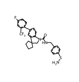 NSc1ccc(CNC(=O)N2CC3(CCCC3)c3cc(-c4ccc(F)cc4C(F)(F)F)ccc32)cc1